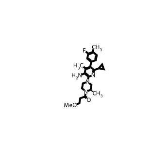 COCCC(=O)N1CCN(c2nc(C3CC3)c(-c3ccc(C)c(F)c3)c(C)c2N)C[C@H]1C